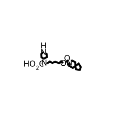 O=C(OCCCCCCN(C(=O)O)C1CCNCC1)N1CCC2(CCCC2)CC1